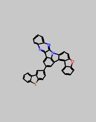 c1ccc2nc3c(nc2c1)c1cc(-c2ccc4sc5ccccc5c4c2)cc2c4c5c(ccc4n3c12)oc1ccccc15